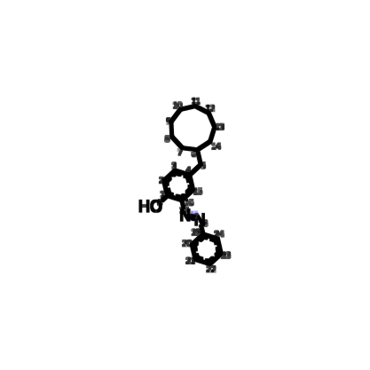 Oc1ccc(CC2CCCCCCCC2)cc1/N=N/c1ccccc1